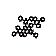 c1ccc(N2c3ccccc3N(c3ccc(-c4ccc(N5c6ccccc6N(c6ccccc6)c6ccccc65)cc4-c4nc(-c5cccnc5)nc(-c5ccccn5)n4)c(-c4nc(-c5cccnc5)nc(-c5ccccn5)n4)c3)c3ccccc32)cc1